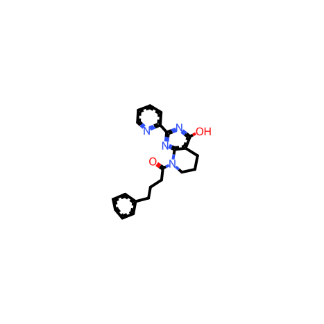 O=C(CCCc1ccccc1)N1CCCc2c(O)nc(-c3ccccn3)nc21